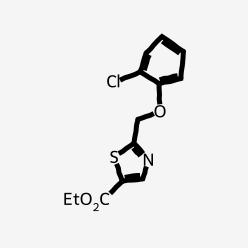 CCOC(=O)c1cnc(COc2ccccc2Cl)s1